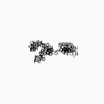 CCCC[C@H](O[C@@H]1OC(C(=O)O)[C@H](O)C(O[C@@H]2OC(CO)[C@@H](O)C(O)[C@H]2O)C1O[C@@H]1OC(CO)[C@H](O)C(O)C1O)[C@@](C)(C=O)C1CC[C@]2(C)C(CC=C3C4CC(C)(C)CC[C@]4(C(=O)O[C@@H]4OC(C)C(OC(=O)C[C@@H](O)C[C@H](OC(=O)C[C@@H](O)C[C@H](OC5(O)CO[C@@H](CO)C5O)[C@@H](C)CC)[C@@H](C)CC)=C(O)C4O[C@@H]4OC(C)[C@H](O[C@H]5OCC(O)[C@H](O[C@@H]6OCC(O)(CO)C6O)C5O)C(O)C4O)[C@H](O)C[C@]32C)C1